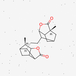 C[C@H]1C2OC(=O)C3C2CC1[C@@H]3CCC1C2CC3C1OC(=O)[C@]3(C)C2